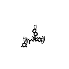 CC[N+](CC)(CCCCN(Cc1ccc2c(c1)OCCO2)S(=O)(=O)c1ccc2cc(Cl)ccc2c1)Cc1cc(C)cc(C)c1